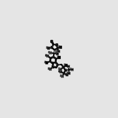 [2H]c1c(C([2H])([2H])[C@@H]2N([2H])C(=O)OC2([2H])[2H])c([2H])c2c(CC([2H])([2H])N(C([2H])([2H])[2H])C([2H])([2H])[2H])cn([2H])c2c1[2H]